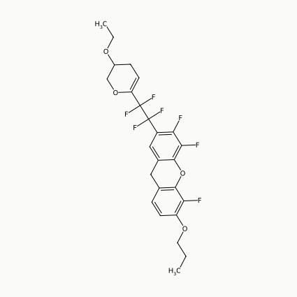 CCCOc1ccc2c(c1F)Oc1c(cc(C(F)(F)C(F)(F)C3=CCC(OCC)CO3)c(F)c1F)C2